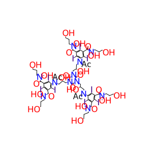 CC(=O)N(CC(O)Cn1c(=O)n(CC(O)CN(C(C)=O)c2c(I)c(C(=O)N(O)CCCO)c(I)c(C(=O)N(O)CCCO)c2I)c(=O)n(CC(O)CN(C(C)=O)c2c(I)c(C(=O)N(O)CCCO)c(I)c(C(=O)N(O)CCCO)c2I)c1=O)c1c(I)c(C(=O)N(O)CCCO)c(I)c(C(=O)N(O)CCCO)c1I